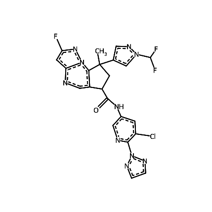 CC1(c2cnn(C(F)F)c2)CC(C(=O)Nc2cnc(-n3nccn3)c(Cl)c2)c2cnc3cc(F)nn3c21